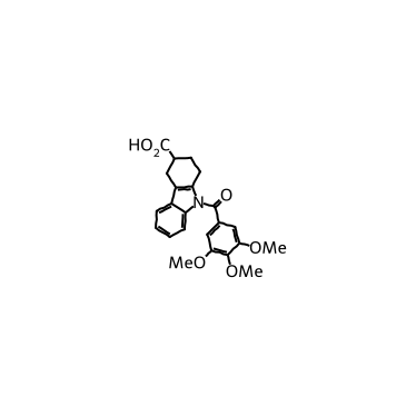 COc1cc(C(=O)n2c3c(c4ccccc42)CC(C(=O)O)CC3)cc(OC)c1OC